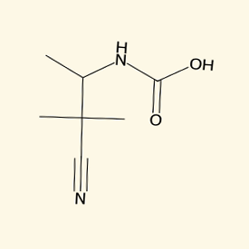 CC(NC(=O)O)C(C)(C)C#N